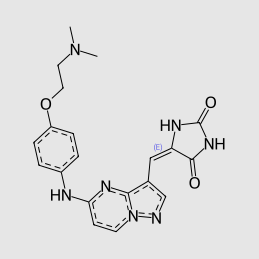 CN(C)CCOc1ccc(Nc2ccn3ncc(/C=C4/NC(=O)NC4=O)c3n2)cc1